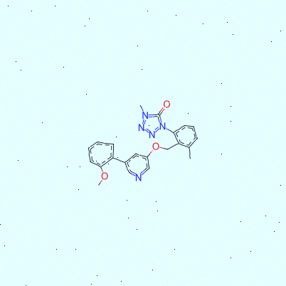 COc1ccccc1-c1cncc(OCc2c(C)cccc2-n2nnn(C)c2=O)c1